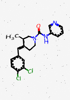 CC1CN(C(=O)Nc2cccnc2)CC/C1=C\c1ccc(Cl)c(Cl)c1